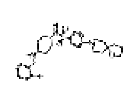 CN(Cc1ccccc1F)[C@H]1CC[C@H](NS(=O)(=O)c2ccc(N3CCC4(CCCO4)CC3)nc2)CC1